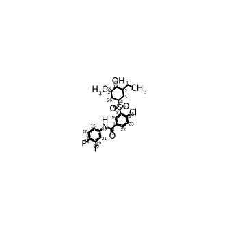 CCC1C[C@@H](S(=O)(=O)c2cc(C(=O)Nc3ccc(F)c(F)c3)ccc2Cl)C[C@H](C)[C@@H]1O